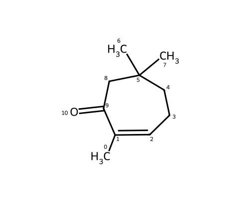 CC1=CCCC(C)(C)CC1=O